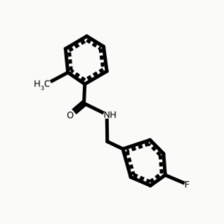 Cc1ccccc1C(=O)NCc1ccc(F)cc1